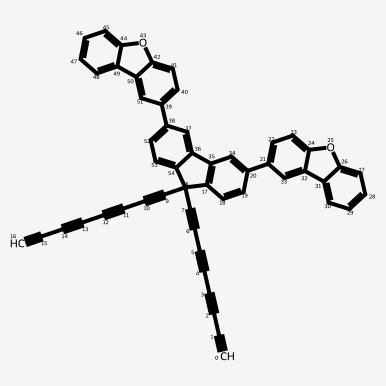 C#CC#CC#CC#CC1(C#CC#CC#CC#C)c2ccc(-c3ccc4oc5ccccc5c4c3)cc2-c2cc(-c3ccc4oc5ccccc5c4c3)ccc21